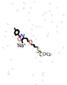 Cc1ccc(-c2nc(CCOC/C=C/CSCC(=O)[O-])c(C)o2)cc1.[Na+]